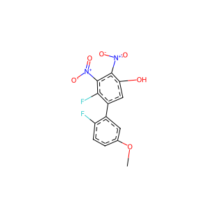 COc1ccc(F)c(-c2cc(O)c([N+](=O)[O-])c([N+](=O)[O-])c2F)c1